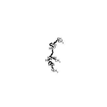 CCCNc1nc(Nc2cnc3c(cnn3CCOC)c2)ncc1C#CCCCNC(=O)C1CCCN1C(=O)C=CCN(C)C